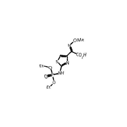 CCOP(=O)(Nc1nc(/C(=N/OC)C(=O)O)cs1)OCC